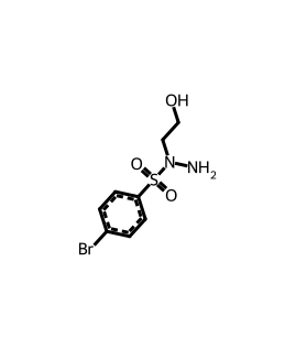 NN(CCO)S(=O)(=O)c1ccc(Br)cc1